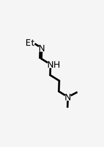 CCN=CNCCCN(C)C